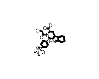 COC(=O)[C@H]1Cc2c([nH]c3ccccc23)[C@@H](c2ccc(S(=O)(=O)N(C)C)cc2)N1C(=O)CCl